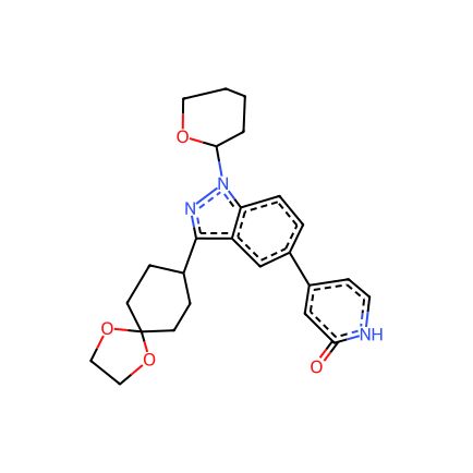 O=c1cc(-c2ccc3c(c2)c(C2CCC4(CC2)OCCO4)nn3C2CCCCO2)cc[nH]1